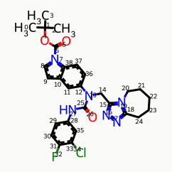 CC(C)(C)OC(=O)n1ccc2cc(N(Cc3nnc4n3CCCCC4)C(=O)Nc3ccc(F)c(Cl)c3)ccc21